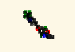 CC(C)(C)NC(=O)c1c(F)cc(OCCCC2CCN(CC(F)(F)C(F)F)CC2)cc1F